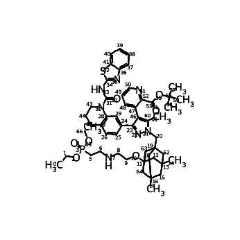 CCOP(=O)(CCNCCOC12CC3(C)CC(C)(CC(Cn4nc(-c5ccc6c(c5)N(C(=O)Nc5nc7ccccc7s5)CCC6)c(-c5cccnc5C(=O)OC(C)(C)C)c4C)(C3)C1)C2)OCC